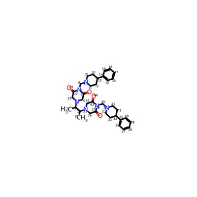 CC(C(C)N1CC(=O)N(CN2CCC(c3ccccc3)CC2)C(=O)C1)N1CC(=O)N(CN2CCC(c3ccccc3)CC2)C(=O)C1